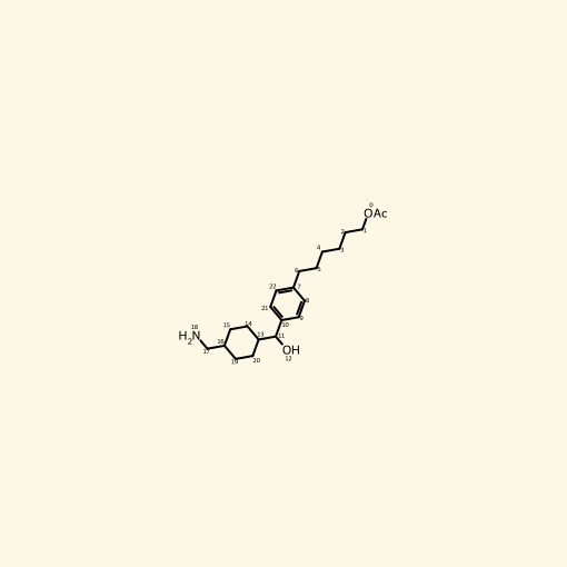 CC(=O)OCCCCCCc1ccc(C(O)C2CCC(CN)CC2)cc1